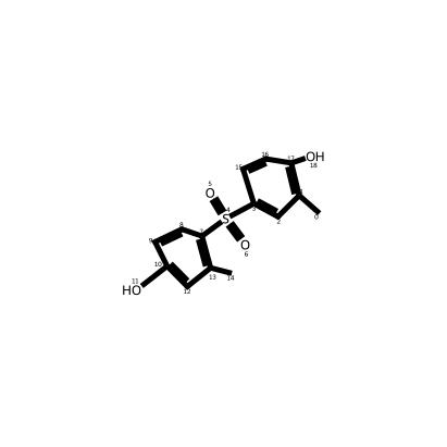 Cc1cc(S(=O)(=O)c2ccc(O)cc2C)ccc1O